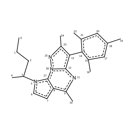 CCCC(C)n1ccc2c(C)nc3c(-c4c(C)cc(C)cc4C)c(C)nn3c21